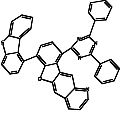 c1ccc(-c2nc(-c3ccccc3)nc(-c3ccc(-c4cccc5sc6ccccc6c45)c4oc5cc6cccnc6cc5c34)n2)cc1